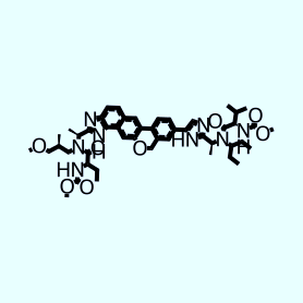 CCC(NC(=O)OC)C(=O)N(C[C@H](C)COC)[C@@H](C)c1nc2ccc3cc4c(cc3c2[nH]1)OCc1cc(-c2cnc([C@H](C)N(C(=O)[C@@H](NC(=O)OC)C(C)C)C(CC)CC)[nH]2)ccc1-4